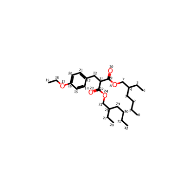 CCCCC(CC)COC(=O)C(Cc1ccc(OCC)cc1)C(=O)OCC(CC)CCCC